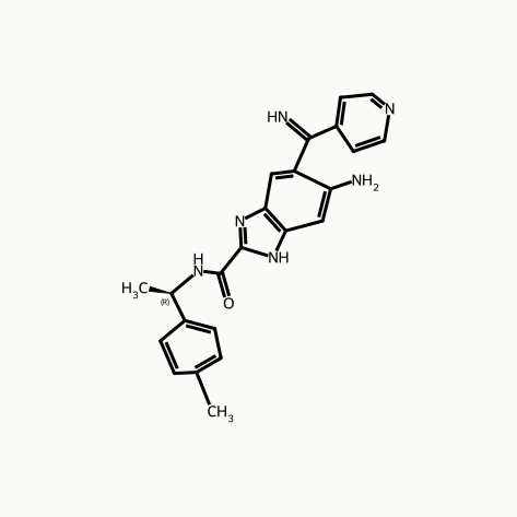 Cc1ccc([C@@H](C)NC(=O)c2nc3cc(C(=N)c4ccncc4)c(N)cc3[nH]2)cc1